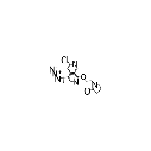 CC(C)(N=[N+]=[N-])c1cnc(OCCN2CCCC2=O)c2cnc(Cl)cc12